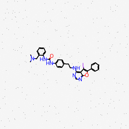 CN(C)Cc1ccccc1NC(=O)Nc1ccc(CCNc2ncnc3oc(-c4ccccc4)c(I)c23)cc1